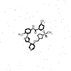 Cc1ccc(NC(=O)c2cccc(C(F)(F)F)c2)cc1-n1cc(-c2cnccc2OCC2CCN(S(C)(=O)=O)C2)cn1